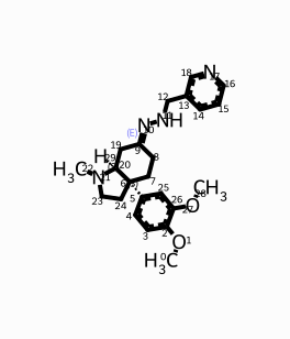 COc1ccc([C@@]23CC/C(=N\NCc4cccnc4)C[C@@H]2N(C)CC3)cc1OC